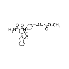 CCOC(=O)CCOCCN1CCN(N2C(=O)C(C(N)=O)CC(N3Cc4ccccc4C3=O)C2=O)CC1